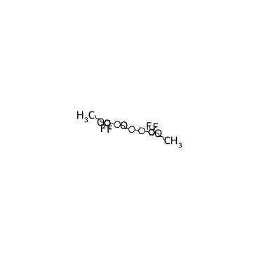 CCCCOc1ccc(C2CCC(OCC3CCC(C4CCC(c5ccc(OCCCC)c(F)c5F)CC4)CC3)CC2)c(F)c1F